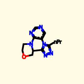 CCCc1nnc2n1-c1cncnc1N1CCOCC21